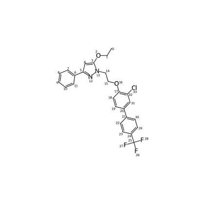 CCOc1cc(-c2ccccc2)nn1CCOc1ccc(-c2ccc(C(F)(F)F)cc2)cc1Cl